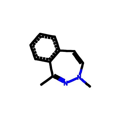 CC1=NN(C)C=Cc2ccccc21